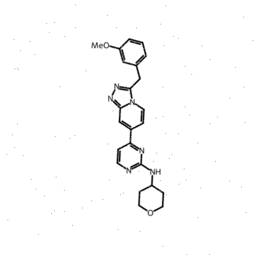 COc1cccc(Cc2nnc3cc(-c4ccnc(NC5CCOCC5)n4)ccn23)c1